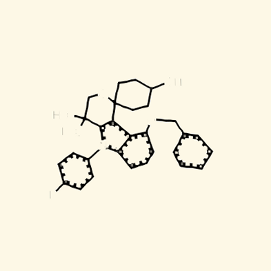 CC1(C)COC2(CCC(O)CC2)c2c1n(-c1ccc(F)cc1)c1cccc(OCc3ccccc3)c21